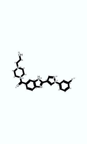 O=C(c1ccc2nc(-c3cnn(-c4cccc(F)c4)c3)[nH]c2c1)N1CCN(CCO)CC1